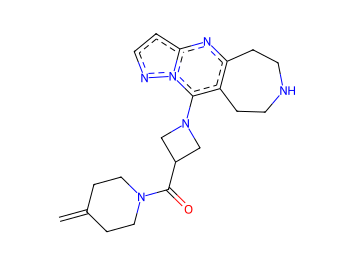 C=C1CCN(C(=O)C2CN(c3c4c(nc5ccnn35)CCNCC4)C2)CC1